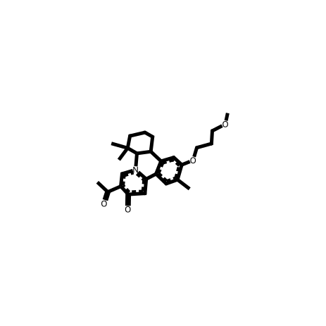 COCCCOc1cc2c(cc1C)-c1cc(=O)c(C(C)=O)cn1C1C2CCCC1(C)C